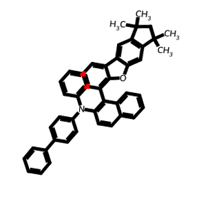 CC1(C)CC(C)(C)c2cc3c(cc21)oc1c(-c2c(N(c4ccccc4)c4ccc(-c5ccccc5)cc4)ccc4ccccc24)cccc13